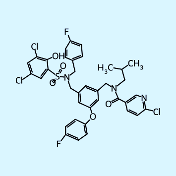 CC(C)CN(Cc1cc(CN(Cc2ccc(F)cc2)S(=O)(=O)c2cc(Cl)cc(Cl)c2O)cc(Oc2ccc(F)cc2)c1)C(=O)c1ccc(Cl)nc1